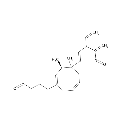 C=CC(C=CC1(C)CC=CC/C(CCCC=O)=C\[C@H]1C)C(=C)N=O